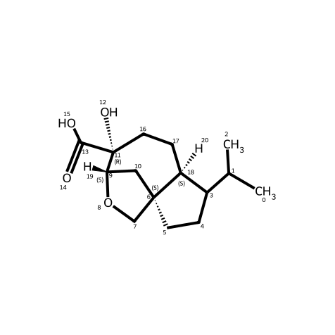 CC(C)C1CC[C@]23CO[C@@H](C2)[C@@](O)(C(=O)O)CC[C@@H]13